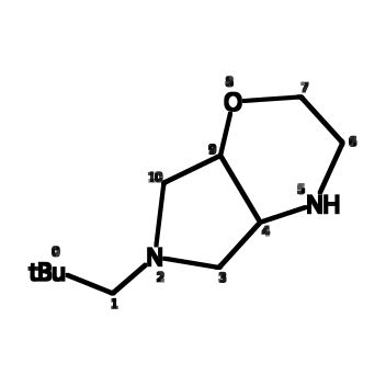 CC(C)(C)CN1CC2NCCOC2C1